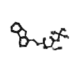 CC(C)(C)OC(=O)[C@H](CO)NC(=O)OCc1cccc2c1Cc1ccccc1-2